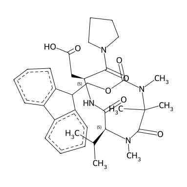 CC(C)[C@@H](C(=O)N[C@@H](CC(=O)O)C(=O)N1CCCC1)N(C)C(=O)C(C)(C)N(C)C(=O)OCC1c2ccccc2-c2ccccc21